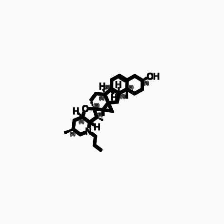 CCCN1C[C@@H](C)C[C@H]2O[C@]3(CC[C@H]4[C@@H]5CC=C6C[C@@H](O)CC[C@]6(C)[C@H]5CC45CC53C)[C@H](C)[C@@H]21